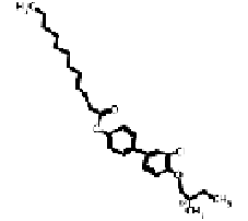 CCCCCCCCCCCC(=O)Oc1ccc(-c2ccc(OC[C@@H](C)CC)c(Cl)c2)cc1